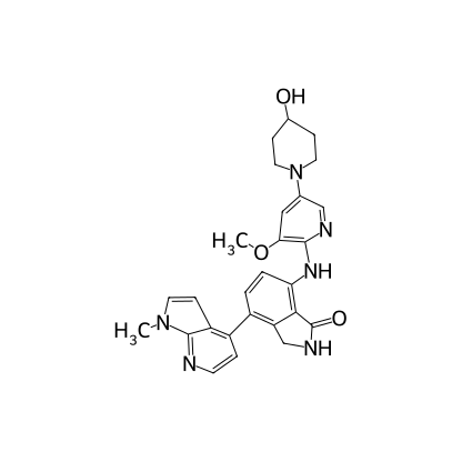 COc1cc(N2CCC(O)CC2)cnc1Nc1ccc(-c2ccnc3c2ccn3C)c2c1C(=O)NC2